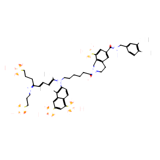 C\C(=C/C=C/C(CCCS(=O)(=O)O)=N\CCCS(=O)(=O)O)N(CCCCCC(=O)N1CCc2cc(C(=O)NCc3ccc(C)c(C)c3)cc(S(=O)(=O)O)c2C1)c1ccc2c(S(=O)(=O)O)cc(S(=O)(=O)O)cc2c1C